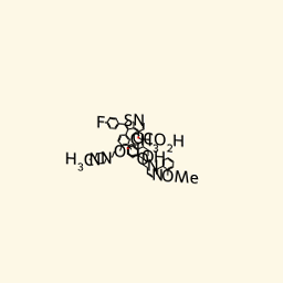 COc1ccccc1-c1nccc(COc2ccccc2C(CO)C(Oc2ccnc3sc(-c4ccc(F)cc4)c(-c4ccc(OCCN5CCN(C)CC5)c(Cl)c4C)c23)C(=O)O)n1